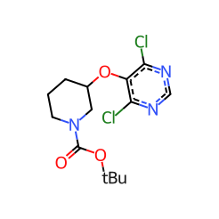 CC(C)(C)OC(=O)N1CCCC(Oc2c(Cl)ncnc2Cl)C1